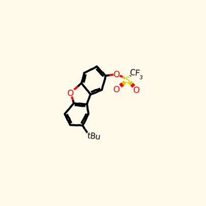 CC(C)(C)c1ccc2oc3ccc(OS(=O)(=O)C(F)(F)F)cc3c2c1